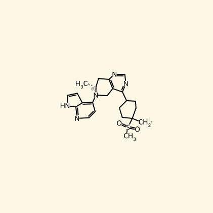 [CH2]C1(S(C)(=O)=O)CCC(c2ncnc3c2CN(c2ccnc4[nH]ccc24)[C@H](C)C3)CC1